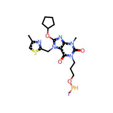 Cc1csc(Cn2c(OC3CCCC3)nc3c2c(=O)n(CCCOPI)c(=O)n3C)n1